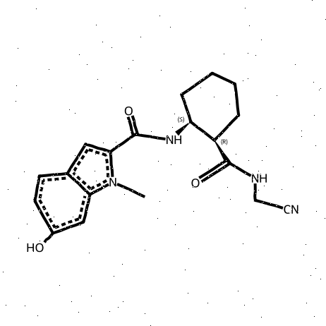 Cn1c(C(=O)N[C@H]2CCCC[C@H]2C(=O)NCC#N)cc2ccc(O)cc21